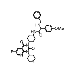 COc1ccc(C(NCc2ccccc2)C(=O)NC2CCC(n3c(=O)c4cc(F)cnc4n(C4CCSCC4)c3=O)CC2)cc1